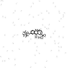 CC(C)[Si](OCc1ccc(N)c(NC2CCCCN(C(=O)O)C2)c1)(C(C)C)C(C)C